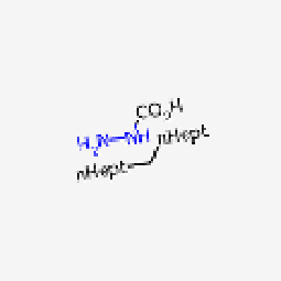 CCCCCCCCCCCCCCC.NNC(=O)O